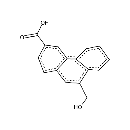 O=C(O)c1ccc2cc(CO)c3ccccc3c2c1